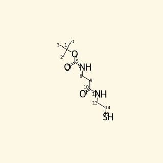 CC(C)(C)OC(=O)NCCC(=O)NCCS